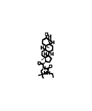 CCNC(=O)N(CC(C)(C)C)C(=O)[C@H]1CC[C@H]2[C@@H]3CC[C@H]4NC(=O)CC[C@]4(C)[C@H]3CC[C@]12C